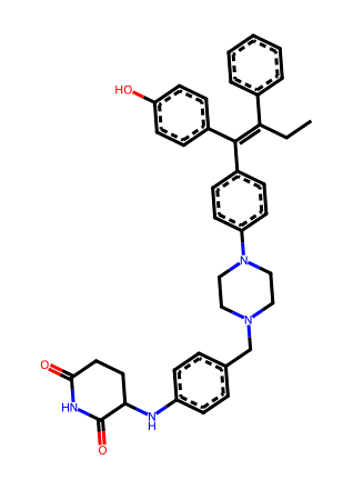 CCC(=C(c1ccc(O)cc1)c1ccc(N2CCN(Cc3ccc(NC4CCC(=O)NC4=O)cc3)CC2)cc1)c1ccccc1